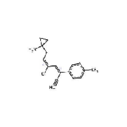 C#C/C(=C\C(Cl)=C/CC1(N)CC1)c1ccc(C(F)(F)F)nc1